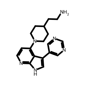 NCCC1CCN(c2ccnc3[nH]cc(-c4cncnc4)c23)CC1